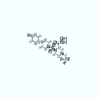 O=C(NO)C1CN(CC(F)(F)F)CCN1S(=O)(=O)N1CC=C(c2ccc(F)cc2)CC1